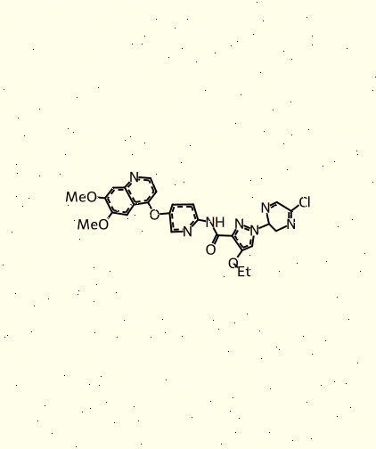 CCOc1cn(C2CN=C(Cl)C=N2)nc1C(=O)Nc1ccc(Oc2ccnc3cc(OC)c(OC)cc23)cn1